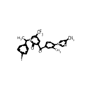 Cc1cn(-c2ccc(C(=O)c3cc(C(F)(F)F)cn(C(C)c4ccc(F)cc4)c3=O)cc2C)cn1